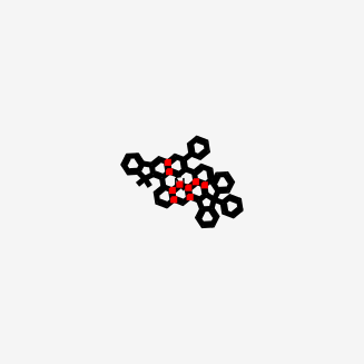 CC1(C)c2ccccc2-c2cccc(-c3ccccc3N(c3ccc4c(c3)-c3ccccc3C4(c3ccccc3)c3ccccc3)c3cccc(-c4ccccc4)c3-c3ccccc3-c3ccccc3)c21